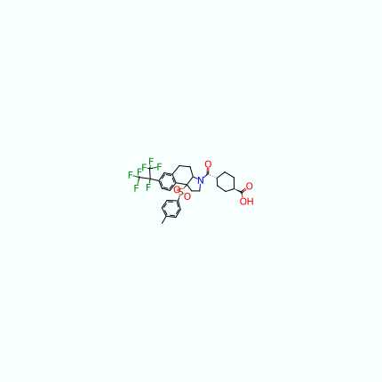 Cc1ccc(S(=O)(=O)C23CCN(C(=O)[C@H]4CC[C@H](C(=O)O)CC4)C2CCc2cc(C(F)(C(F)(F)F)C(F)(F)F)ccc23)cc1